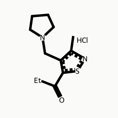 CCC(=O)c1snc(C)c1CN1CCCC1.Cl